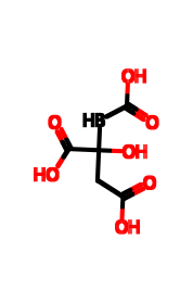 O=C(O)BC(O)(CC(=O)O)C(=O)O